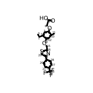 CCc1cc(OCC(=O)O)c(C)cc1OCc1nc(-c2ccc(C(F)(F)F)cc2)cs1